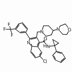 O=C(NC1(c2ccccc2)CC1)c1c(CN2CCC(N3CCOCC3)CC2)c(-c2cccc(C(F)(F)F)c2)nc2ccc(Cl)cc12